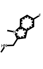 CNCc1cc2cc(F)ccc2n1C